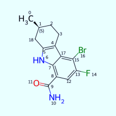 C[C@H]1CCc2c([nH]c3c(C(N)=O)cc(F)c(Br)c23)C1